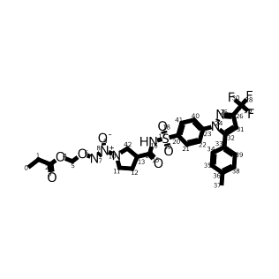 CCC(=O)OCO/N=[N+](\[O-])N1CCC(C(=O)NS(=O)(=O)c2ccc(-n3nc(C(F)(F)F)cc3-c3ccc(C)cc3)cc2)C1